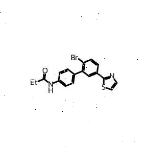 CCC(=O)Nc1ccc(-c2cc(-c3nccs3)ccc2Br)cc1